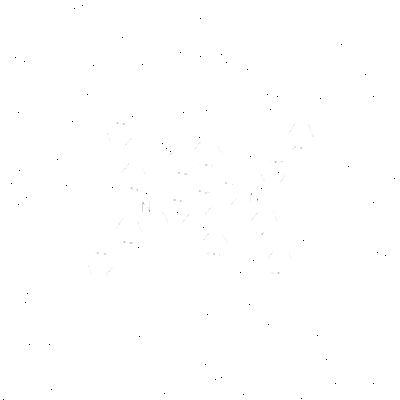 c1ccc(-c2ccc(N(c3ccc(-c4ccccc4)cc3)c3ccc4c(-c5cccc6ccccc56)c5cc(N(c6ccc(-c7ccccc7)cc6)c6ccc(-c7ccccc7)cc6)ccc5c(-c5ccccc5)c4c3)cc2)cc1